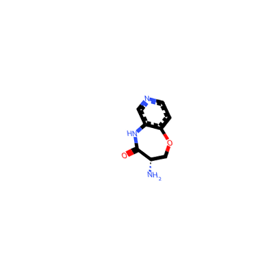 N[C@H]1COc2ccncc2NC1=O